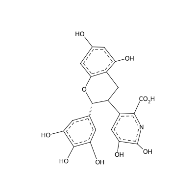 O=C(O)c1nc(O)c(O)cc1C1Cc2c(O)cc(O)cc2O[C@H]1c1cc(O)c(O)c(O)c1